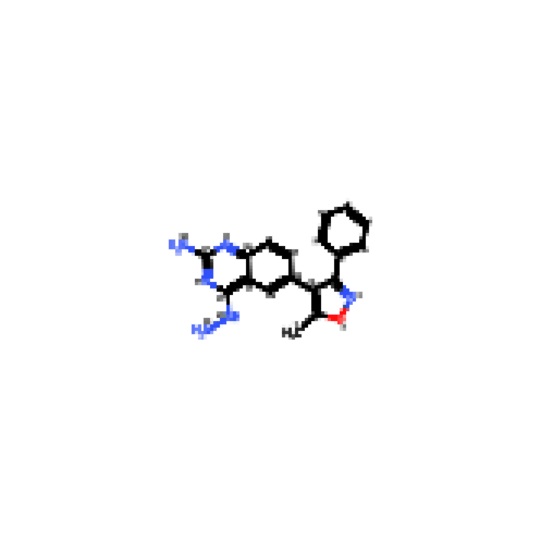 Cc1onc(-c2ccccc2)c1-c1ccc2nc(N)nc(NN)c2c1